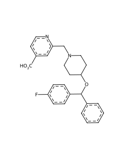 O=C(O)c1ccnc(CN2CCC(OC(c3ccccc3)c3ccc(F)cc3)CC2)c1